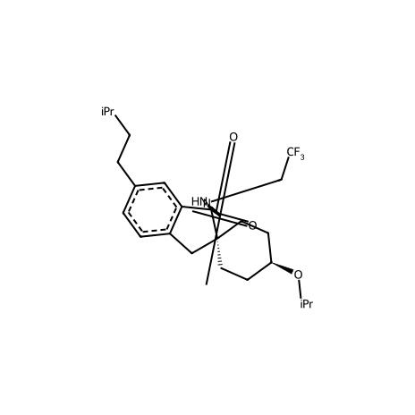 CC(C)CCc1ccc2c(c1)C1(NC(=O)N(CC(F)(F)F)C1=O)[C@]1(CC[C@H](OC(C)C)CC1)C2